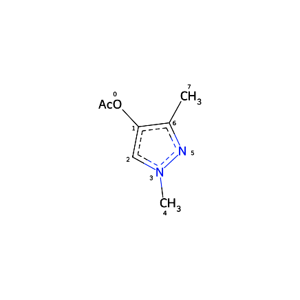 CC(=O)Oc1cn(C)nc1C